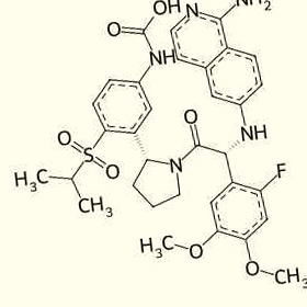 COc1cc(F)c([C@@H](Nc2ccc3c(N)nccc3c2)C(=O)N2CCC[C@@H]2c2cc(NC(=O)O)ccc2S(=O)(=O)C(C)C)cc1OC